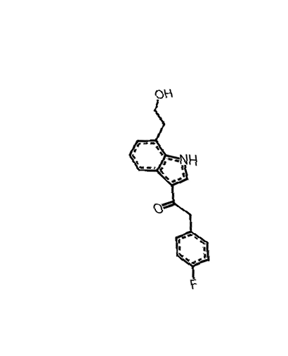 O=C(Cc1ccc(F)cc1)c1c[nH]c2c(CCO)cccc12